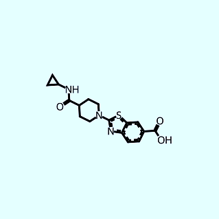 O=C(O)c1ccc2nc(N3CCC(C(=O)NC4CC4)CC3)sc2c1